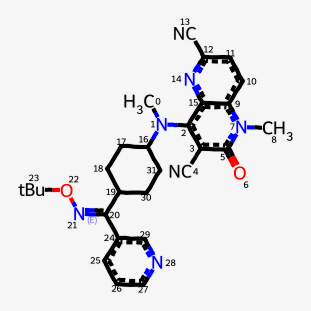 CN(c1c(C#N)c(=O)n(C)c2ccc(C#N)nc12)C1CCC(/C(=N\OC(C)(C)C)c2cccnc2)CC1